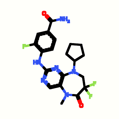 CN1C(=O)C(F)(F)CN(C2CCCC2)c2nc(Nc3ccc(C(N)=O)cc3F)ncc21